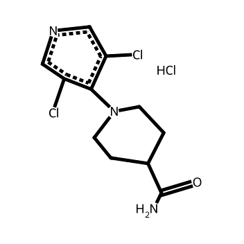 Cl.NC(=O)C1CCN(c2c(Cl)cncc2Cl)CC1